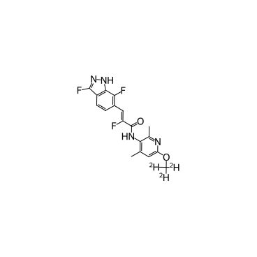 [2H]C([2H])([2H])Oc1cc(C)c(NC(=O)/C(F)=C/c2ccc3c(F)n[nH]c3c2F)c(C)n1